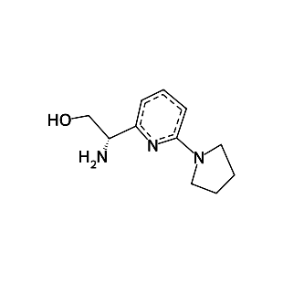 N[C@H](CO)c1cccc(N2CCCC2)n1